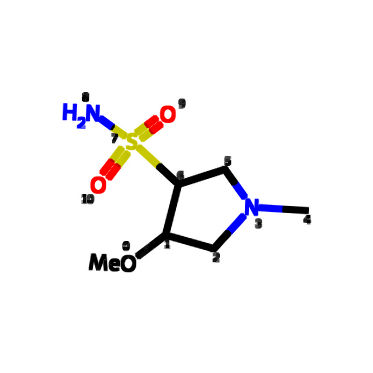 COC1CN(C)CC1S(N)(=O)=O